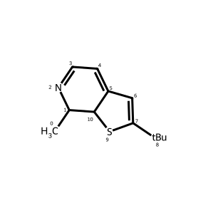 CC1N=CC=C2C=C(C(C)(C)C)SC21